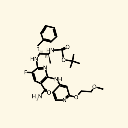 COCCOc1cc(Nc2nc(N[C@H](Cc3ccccc3)[C@H](C)NC(=O)OC(C)(C)C)c(F)cc2C(N)=O)ccn1